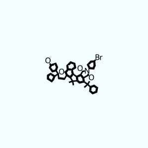 COc1ccc(C2(c3ccccc3)C=Cc3c4c(c5ccccc5c3O2)-c2c(cc(C(C)(C)c3ccccc3)c3c2C(=O)N(c2ccc(Br)cc2)C3=O)C4(C)C)cc1